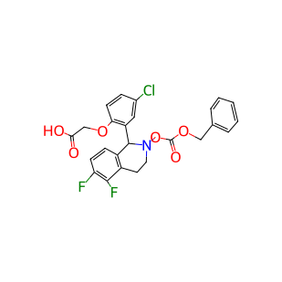 O=C(O)COc1ccc(Cl)cc1C1c2ccc(F)c(F)c2CCN1OC(=O)OCc1ccccc1